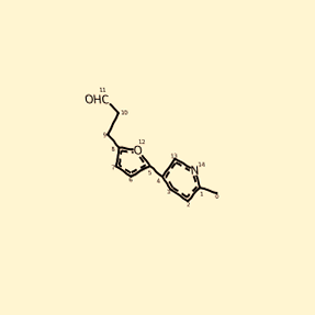 Cc1ccc(-c2ccc(CCC=O)o2)cn1